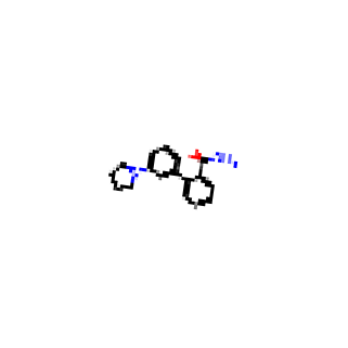 NC(=O)c1ccccc1-c1cccc(N2CCCC2)c1